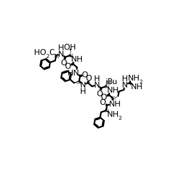 CC[C@H](C)[C@H](NC(=O)[C@H](CCCNC(=N)N)NC(=O)[C@@H](N)Cc1ccccc1)C(=O)NCC(=O)N[C@@H](Cc1ccccc1)C(=O)NCC(=O)N[C@@H](CO)C(=O)N[C@@H](Cc1ccccc1)C(=O)O